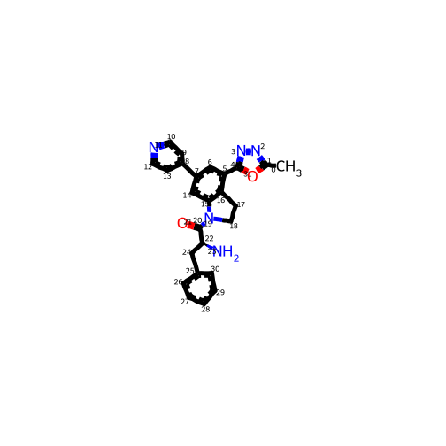 Cc1nnc(-c2cc(-c3ccncc3)cc3c2CCN3C(=O)[C@@H](N)Cc2ccccc2)o1